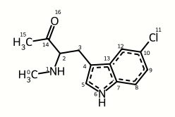 CNC(Cc1c[nH]c2ccc(Cl)cc12)C(C)=O